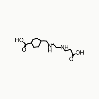 O=C(O)CCNCCNCC1CCC(C(=O)O)CC1